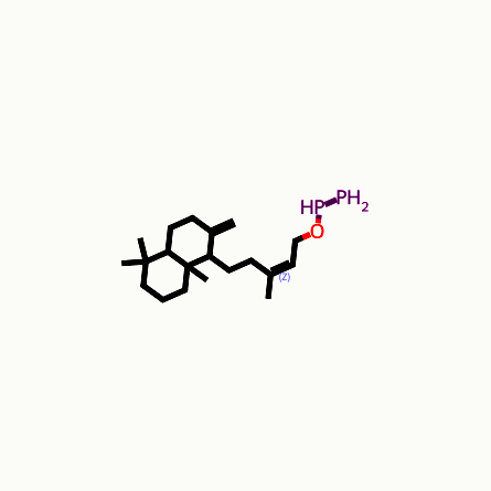 C=C1CCC2C(C)(C)CCCC2(C)C1CC/C(C)=C\COPP